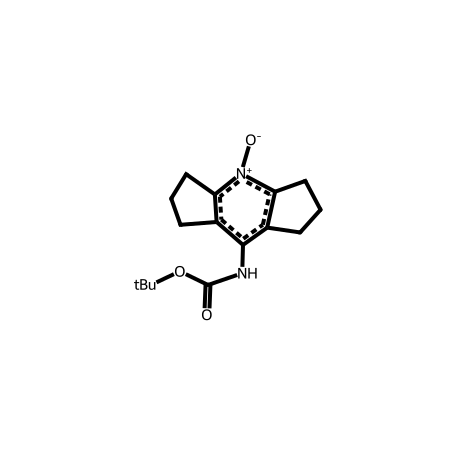 CC(C)(C)OC(=O)Nc1c2c([n+]([O-])c3c1CCC3)CCC2